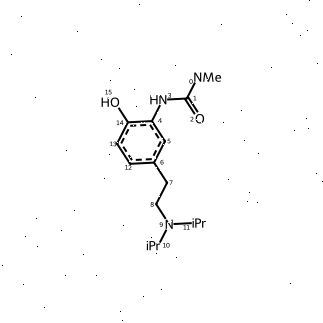 CNC(=O)Nc1cc(CCN(C(C)C)C(C)C)ccc1O